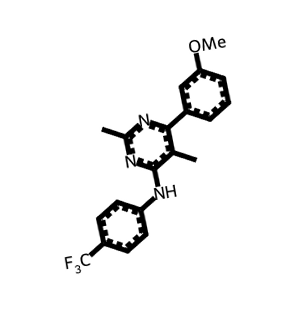 COc1cccc(-c2nc(C)nc(Nc3ccc(C(F)(F)F)cc3)c2C)c1